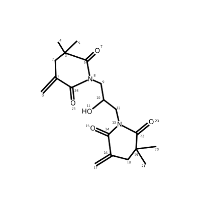 C=C1CC(C)(C)C(=O)N(CC(O)CN2C(=O)C(=C)CC(C)(C)C2=O)C1=O